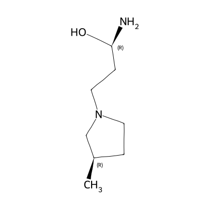 C[C@@H]1CCN(CC[C@H](N)O)C1